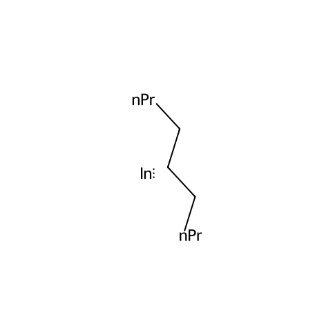 CCCCCCCCC.[In]